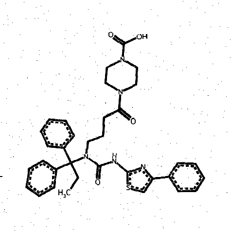 CCC(c1ccccc1)(c1ccccc1)N(CCCC(=O)N1CCN(C(=O)O)CC1)C(=O)Nc1nc(-c2ccccc2)cs1